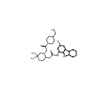 CC1(C)CN(CC(=O)N2CCC(CO)CC2)C(OC(=O)Nc2cc(Cl)cc3c2[nH]c2cnccc23)CO1